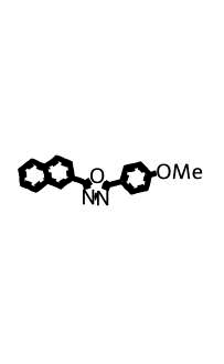 COc1ccc(-c2nnc(-c3ccc4ccccc4c3)o2)cc1